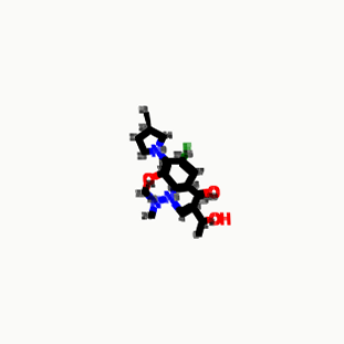 CC(O)c1cn2c3c(c(N4CC[C@@H](C)C4)c(F)cc3c1=O)OCN2C